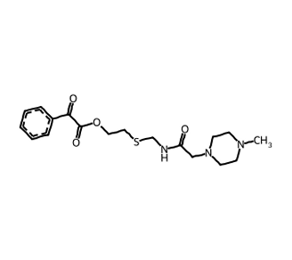 CN1CCN(CC(=O)NCSCCOC(=O)C(=O)c2ccccc2)CC1